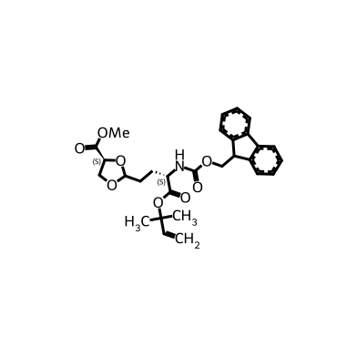 C=CC(C)(C)OC(=O)[C@H](CCC1OC[C@@H](C(=O)OC)O1)NC(=O)OCC1c2ccccc2-c2ccccc21